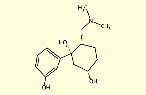 CN(C)C[C@@H]1CC[C@H](O)C[C@@]1(O)c1cccc(O)c1